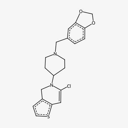 ClC1=Cc2sccc2CN1C1CCN(Cc2ccc3c(c2)OCO3)CC1